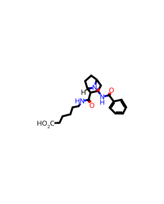 CN1C2CC[C@@H]1C(C(=O)NCCCCCC(=O)O)C(NC(=O)c1ccccc1)C2